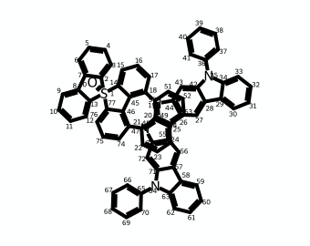 O=S12(c3ccccc3-c3ccccc31)c1cccc(-n3c4ccccc4c4cc5c6ccccc6n(-c6ccccc6)c5cc43)c1-c1c(-n3c4ccccc4c4cc5c6ccccc6n(-c6ccccc6)c5cc43)cccc12